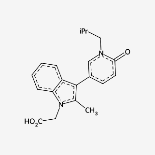 Cc1c(-c2ccc(=O)n(CC(C)C)c2)c2ccccc2n1CC(=O)O